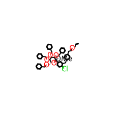 C=CCOCCc1ccc(Cc2cc([C@]3(OC)O[C@H](COCc4ccccc4)[C@@H](OCc4ccccc4)[C@H](OCc4ccccc4)[C@H]3OCc3ccccc3)ccc2Cl)cc1